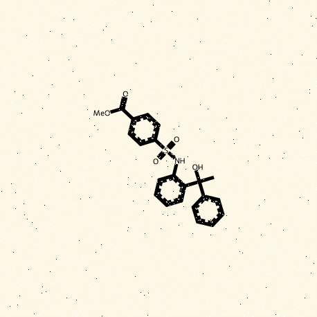 COC(=O)c1ccc(S(=O)(=O)Nc2ccccc2C(C)(O)c2ccccc2)cc1